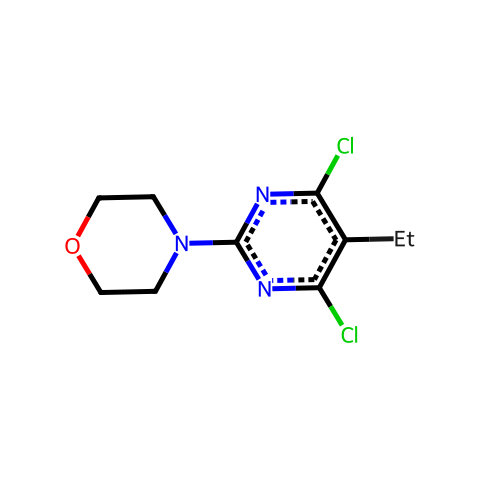 CCc1c(Cl)nc(N2CCOCC2)nc1Cl